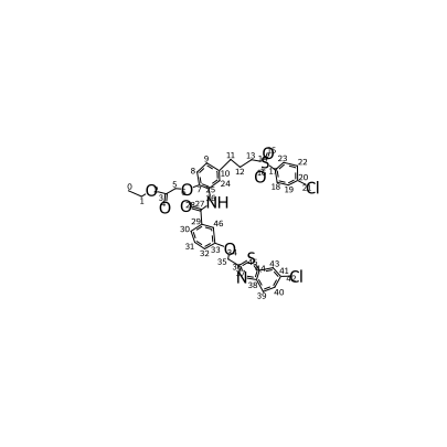 CCOC(=O)COc1ccc(CCCS(=O)(=O)c2ccc(Cl)cc2)cc1NC(=O)c1cccc(OCc2nc3ccc(Cl)cc3s2)c1